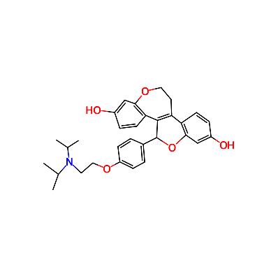 CC(C)N(CCOc1ccc(C2Oc3cc(O)ccc3C3=C2c2ccc(O)cc2OCC3)cc1)C(C)C